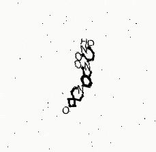 O=C1CC2(CCN(c3ccc4c(c3)C(=O)N(C3CCC(=O)NC3=O)C4)CC2)C1